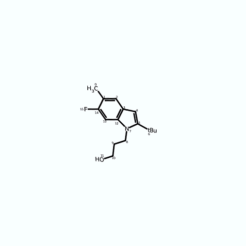 Cc1cc2cc(C(C)(C)C)n(CCCO)c2cc1F